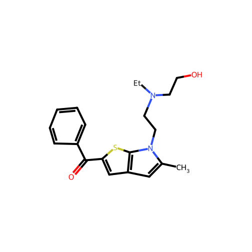 CCN(CCO)CCn1c(C)cc2cc(C(=O)c3ccccc3)sc21